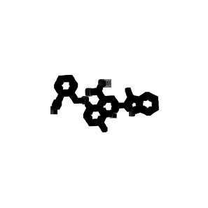 Cc1c(-c2cc(C(=O)O)c3c(OCc4ccccc4C#N)ccc(C)c3n2)sc2ccccc12